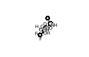 C[C@H](NC(=O)[C@@H](O)c1cc(F)cc(F)c1)C(=O)N[C@H]1C[C@H](c2ccccc2)CCNC1=O